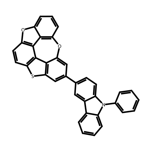 c1ccc(-n2c3ccccc3c3cc(-c4cc5oc6cccc7oc8ccc9sc(c4)c5c9c8c67)ccc32)cc1